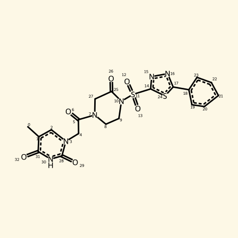 Cc1cn(CC(=O)N2CCN(S(=O)(=O)c3nnc(-c4ccccc4)s3)C(=O)C2)c(=O)[nH]c1=O